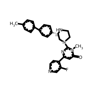 Cc1ccc(-c2ccc([C@H]3CN(c4nc(-c5ccncc5F)cc(=O)n4C)CCN3)cc2)cc1